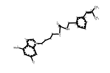 CNc1cc(Cl)cc2c1ncn2CCCCOC(=O)NCc1cccc(C=C(C)C)c1